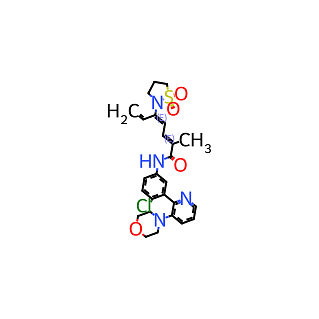 C=C/C(=C\C=C(/C)C(=O)Nc1ccc(Cl)c(-c2ncccc2N2CCOCC2)c1)N1CCCS1(=O)=O